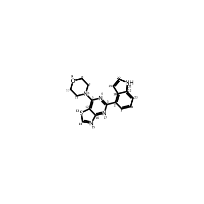 c1cc(-c2nc(N3CCOCC3)c3scnc3n2)c2cc[nH]c2c1